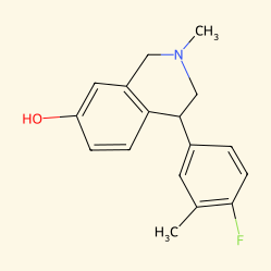 Cc1cc(C2CN(C)Cc3cc(O)ccc32)ccc1F